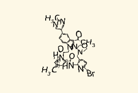 CC(=O)c1nn(CC(=O)N2[C@H](C(=O)Nc3nc(Br)ccc3CN3CCOCC3)C[C@@]3(C)C[C@@H]23)c2ccc(-c3cnc(C)nc3)cc12